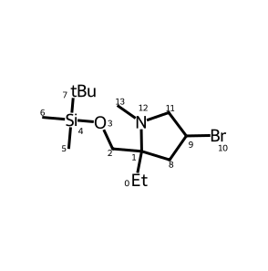 CCC1(CO[Si](C)(C)C(C)(C)C)CC(Br)CN1C